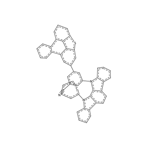 N#Cc1cc(-c2cc3sc4cccc5c6ccccc6c(c2)c3c45)cc(-n2c3ccccc3c3ccc4c5ccccc5n(-c5ccccc5)c4c32)c1